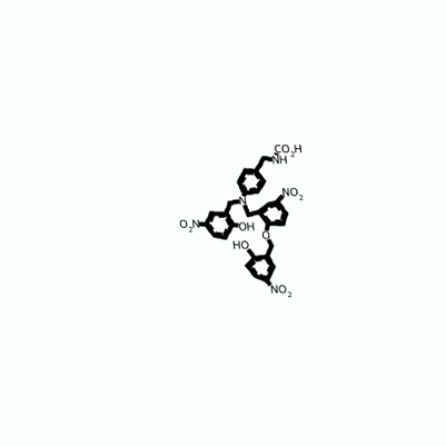 O=C(O)NCc1ccc(N(Cc2cc([N+](=O)[O-])ccc2O)Cc2cc([N+](=O)[O-])ccc2OCc2cc([N+](=O)[O-])ccc2O)cc1